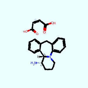 N[C@H]1CCCN2c3ccccc3Cc3ccccc3[C@@H]12.O=C(O)/C=C\C(=O)O